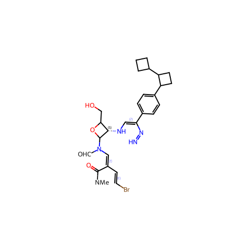 CNC(=O)C(=C\N(C=O)C1OC(CO)[C@@H]1N/C=C(\N=N)c1ccc(C2CCC2C2CCC2)cc1)/C=C/Br